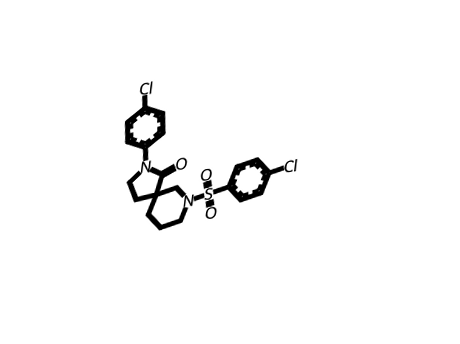 O=C1N(c2ccc(Cl)cc2)CCC12CCCN(S(=O)(=O)c1ccc(Cl)cc1)C2